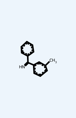 Cc1cccc(C(=N)c2ccccc2)c1